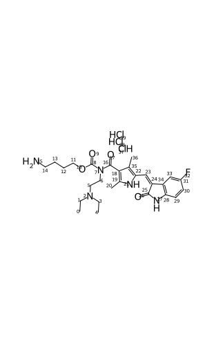 CCN(CC)CCN(C(=O)OCCCCN)C(=O)c1c(C)[nH]c(C=C2C(=O)Nc3ccc(F)cc32)c1C.Cl.Cl.Cl